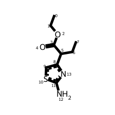 CCOC(=O)C(CC)c1csc(N)n1